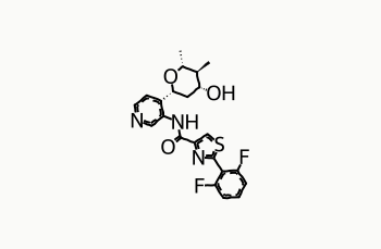 C[C@H]1[C@H](O)C[C@H](c2ccncc2NC(=O)c2csc(-c3c(F)cccc3F)n2)O[C@@H]1C